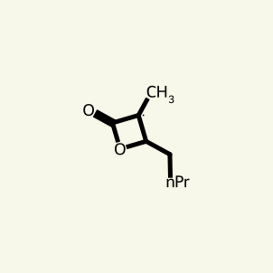 C[CH]CCC1OC(=O)[C]1C